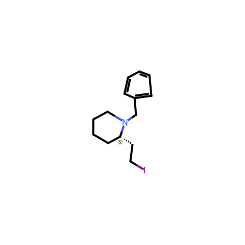 ICC[C@@H]1CCCCN1Cc1ccccc1